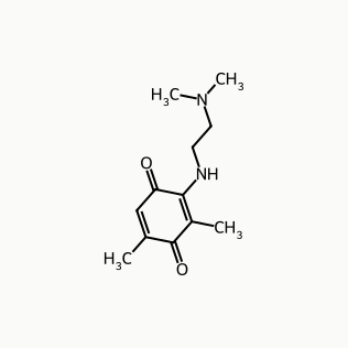 CC1=CC(=O)C(NCCN(C)C)=C(C)C1=O